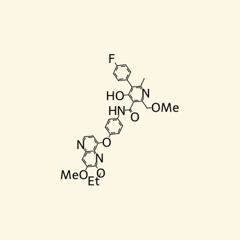 CCOc1nc2c(Oc3ccc(NC(=O)c4c(COC)nc(C)c(-c5ccc(F)cc5)c4O)cc3)ccnc2cc1OC